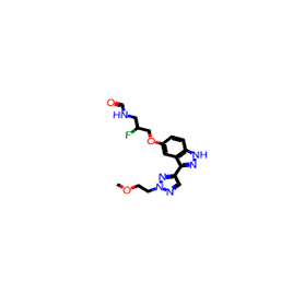 COCCn1ncc(-c2n[nH]c3ccc(OCC(F)CNC=O)cc23)n1